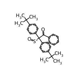 CC(C)(C)c1ccc(C([S+]=O)(C(=O)c2ccccc2)c2ccc(C(C)(C)C)cc2)cc1